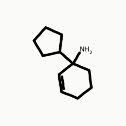 NC1(C2CCCC2)C=CCCC1